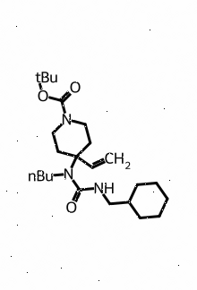 C=CC1(N(CCCC)C(=O)NCC2CCCCC2)CCN(C(=O)OC(C)(C)C)CC1